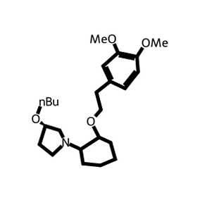 CCCCO[C@@H]1CCN(C2CCCCC2OCCc2ccc(OC)c(OC)c2)C1